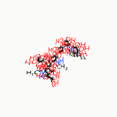 CC(=O)N[C@H]1[C@H](O[C@H]2[C@@H](O)[C@@H](CO)O[C@@H](O[C@H]3[C@@H](O)[C@@H](CO)O[C@@H](O[C@@H]4[C@H](O[C@]5(C(=O)O)C[C@H](O)[C@@H](NC(C)=O)[C@H]([C@H](O)[C@H](O)CO)O5)[C@@H](O)[C@H](O[C@H]5[C@H](O)[C@@H](O)[C@H](O)O[C@@H]5CO)O[C@@H]4CO)[C@@H]3NC(C)=O)[C@@H]2O)O[C@H](CO)[C@H](O)[C@@H]1O[C@@H]1O[C@@H](C)[C@@H](O)[C@@H](O)[C@@H]1O